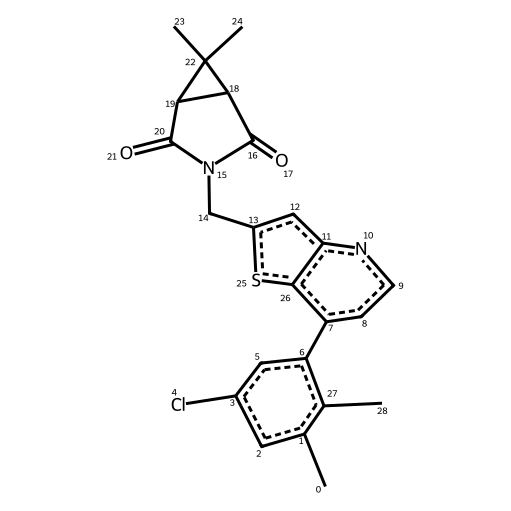 Cc1cc(Cl)cc(-c2ccnc3cc(CN4C(=O)C5C(C4=O)C5(C)C)sc23)c1C